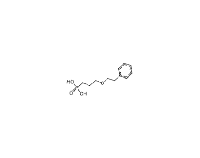 O=P(O)(O)CCCOCCc1ccccc1